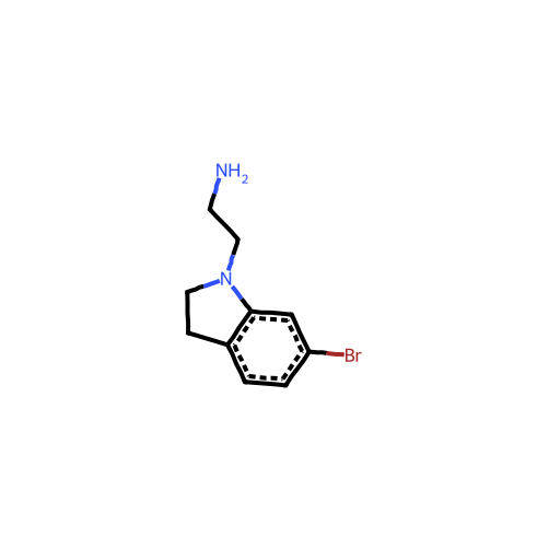 NCCN1CCc2ccc(Br)cc21